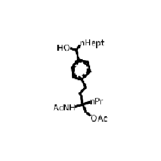 CCCCCCCC(O)c1ccc(CCC(CCC)(COC(C)=O)NC(C)=O)cc1